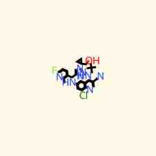 Cc1nc(F)ccc1C(Nc1cc(Cl)c2ncc(C#N)c(NCC(C)(C)C)c2c1)c1cn(C2(CO)CC2)nn1